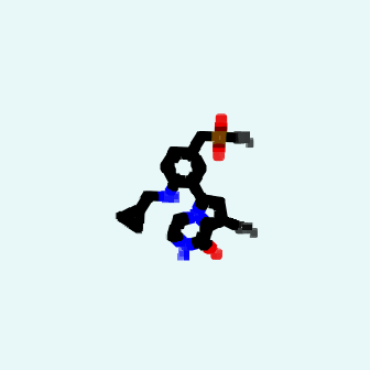 Cc1cc(-c2cc(CS(C)(=O)=O)ccc2NCC2CC2)n2cc[nH]c(=O)c12